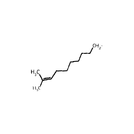 [CH2]CCCCCCC=C(C)C